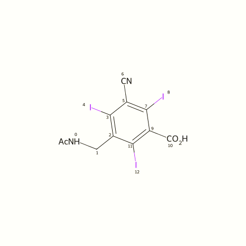 CC(=O)NCc1c(I)c(C#N)c(I)c(C(=O)O)c1I